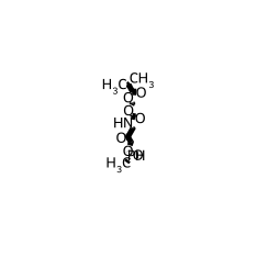 CC(C)C(=O)OCOC(=O)NCC(=O)CO[PH](C)=O